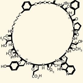 CC(C)[C@]1(C)NC(=O)[C@H](Cc2ccc(O)cc2)NC(=O)[C@H](CCC(=O)O)NC(=O)C(C)(C)NC(=O)[C@H](Cc2c[nH]c3ncccc23)NC(=O)[C@H]([C@@H](C)O)NC(=O)[C@@H]2CCCN2C(=O)[C@H](Cc2ccc(O)cc2)NC(=O)C(C(C)(C)C)NC(=O)CCSCc2cccc(c2)CSCCNC(=O)C([C@H](C)O)NC1=O